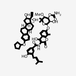 C#C[C@]1(O)[C@H](O)C[C@H]2[C@@H]3CCc4cc(OC5CCCC5)ccc4[C@H]3CC[C@@]21C.CO[C@@H]1[C@@H](OC(N)=O)[C@@H](O)[C@H](Oc2ccc3c(O)c(NC(=O)c4ccc(O)c(CC=C(C)C)c4)c(=O)oc3c2C)OC1(C)C